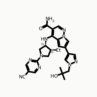 CC[C@H]1CN(c2ncc(C#N)cn2)C[C@H]1Nc1c(C(N)=O)cnn2cc(-c3cnn(CC(C)(C)O)c3)cc12